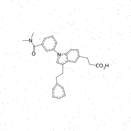 CN(C)C(=O)c1cccc(-n2cc(CCc3ccccc3)c3cc(CCC(=O)O)ccc32)c1